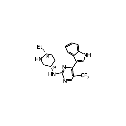 CC[C@@H]1CC[C@H](Nc2ncc(C(F)(F)F)c(-c3c[nH]c4ccccc34)n2)CN1